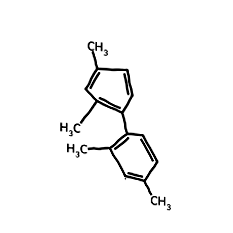 Cc1[c]c(C)c(-c2ccc(C)cc2C)cc1